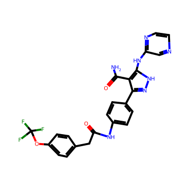 NC(=O)c1c(-c2ccc(NC(=O)Cc3ccc(OC(F)(F)F)cc3)cc2)n[nH]c1Nc1cnccn1